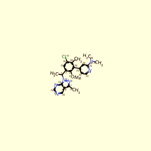 COc1c(C(C)n2nc(C)c3cncnc32)cc(Cl)c(C)c1-c1ccnc(N(C)C)c1